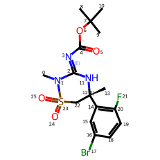 CN1/C(=N/C(=O)OC(C)(C)C)N[C@](C)(c2cc(Br)ccc2F)CS1(=O)=O